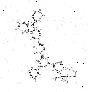 CC1(C)c2ccccc2-c2ccc(-c3cc(-c4ccc(-c5ccc6c(c5)c5cnccc5n6-c5ccccc5)cc4)nc(-c4cccnc4)c3)cc21